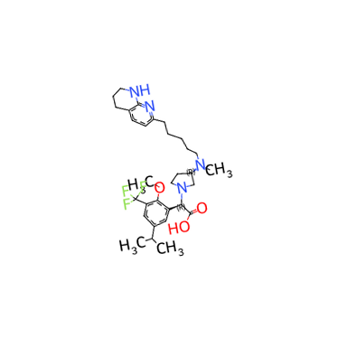 COc1c([C@H](C(=O)O)N2CC[C@@H](N(C)CCCCCc3ccc4c(n3)NCCC4)C2)cc(C(C)C)cc1C(F)(F)F